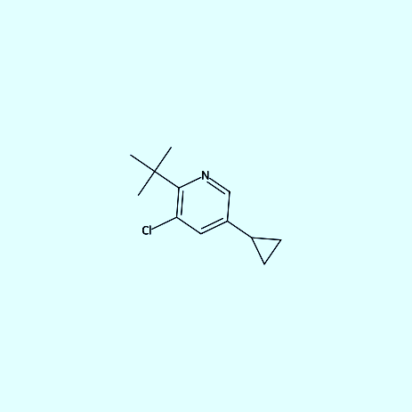 CC(C)(C)c1ncc(C2CC2)cc1Cl